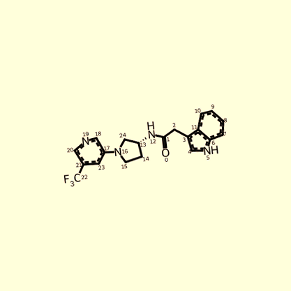 O=C(Cc1c[nH]c2ccccc12)N[C@@H]1CCN(c2cncc(C(F)(F)F)c2)C1